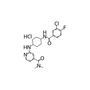 CN(C)C(=O)c1ccnc(NC2CCC(NC(=O)c3ccc(F)c(Cl)c3)CC2)c1.Cl